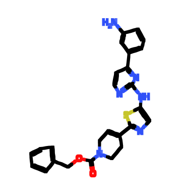 Nc1cccc(-c2ccnc(Nc3cnc(C4=CCN(C(=O)OCc5ccccc5)CC4)s3)n2)c1